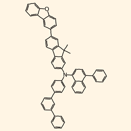 CC1(C)c2cc(-c3ccc4oc5ccccc5c4c3)ccc2-c2ccc(N(c3ccc(-c4cccc(-c5ccccc5)c4)cc3)c3ccc(-c4ccccc4)c4ccccc34)cc21